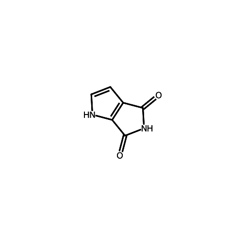 O=C1NC(=O)c2[nH]ccc21